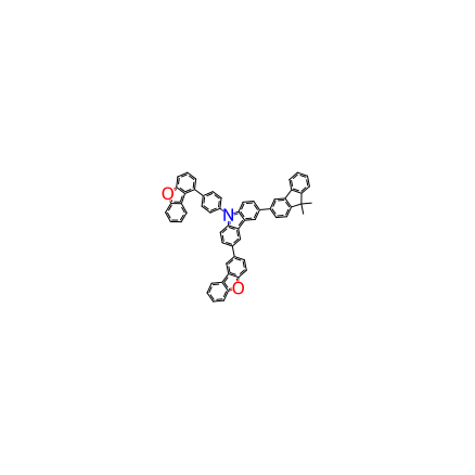 CC1(C)c2ccccc2-c2cc(-c3ccc4c(c3)c3cc(-c5ccc6oc7ccccc7c6c5)ccc3n4-c3ccc(-c4cccc5oc6ccccc6c45)cc3)ccc21